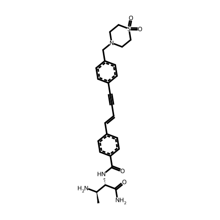 C[C@@H](N)[C@H](NC(=O)c1ccc(/C=C/C#Cc2ccc(CN3CCS(=O)(=O)CC3)cc2)cc1)C(N)=O